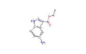 CCOC(=O)c1n[nH]c2ccc(N)cc12